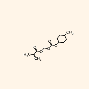 C=C(C)C(=O)OCOC(=O)OC1CCC(C)CC1